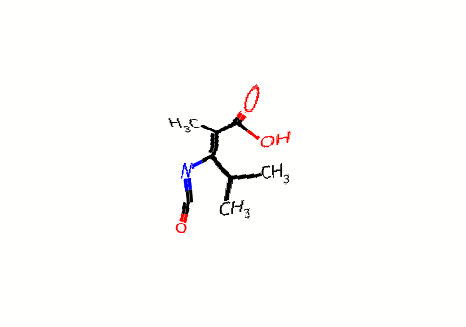 CC(C(=O)O)=C(N=C=O)C(C)C